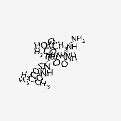 CC(C)(C)OC(=O)Nc1nc(C(=NOC(C)(C)C(=O)O)C(=O)N[C@@H]2C(=O)N[C@H]2CNCCN)cs1